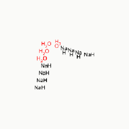 O.O.O.O.[NaH].[NaH].[NaH].[NaH].[NaH].[NaH].[NaH].[NaH]